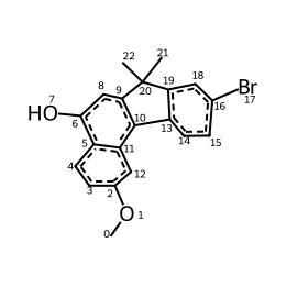 COc1ccc2c(O)cc3c(c2c1)-c1ccc(Br)cc1C3(C)C